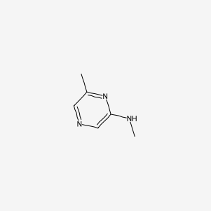 CNc1cncc(C)n1